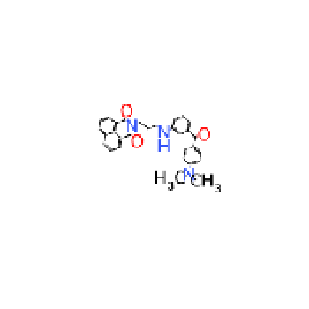 CN(C)c1ccc(C(=O)c2cccc(NCCCN3C(=O)c4cccc5cccc(c45)C3=O)c2)cc1